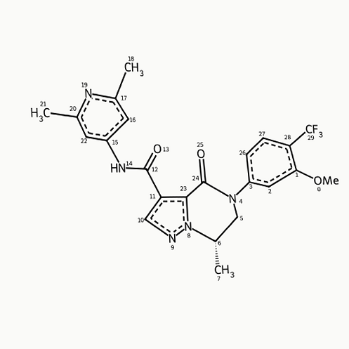 COc1cc(N2C[C@H](C)n3ncc(C(=O)Nc4cc(C)nc(C)c4)c3C2=O)ccc1C(F)(F)F